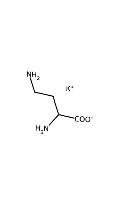 NCCC(N)C(=O)[O-].[K+]